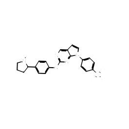 CS(=O)(=O)c1ccc(-n2ccc3cnc(Nc4ccc(C5CCCN5C(=O)O)cc4)nc32)cc1